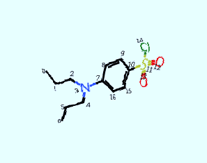 CCCN(CCC)c1ccc(S(=O)(=O)Cl)cc1